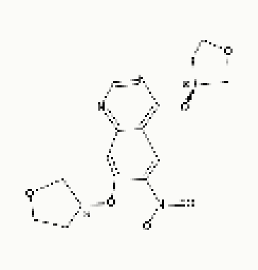 O=[N+]([O-])c1cc2c(O[C@H]3CCOC3)ncnc2cc1O[C@@H]1CCOC1